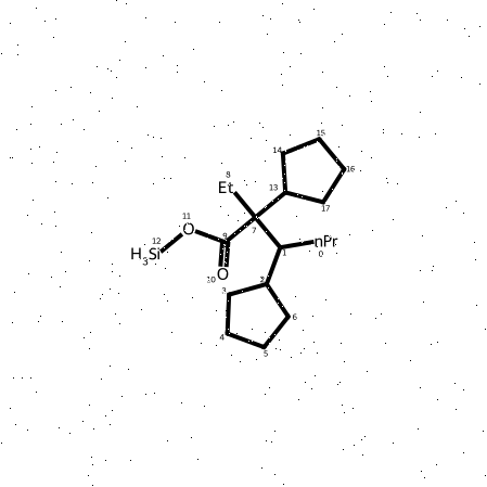 CCCC(C1CCCC1)C(CC)(C(=O)O[SiH3])C1CCCC1